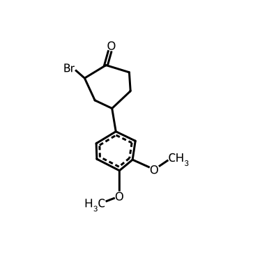 COc1ccc(C2CCC(=O)C(Br)C2)cc1OC